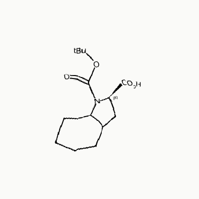 CC(C)(C)OC(=O)N1C2CCCCC2C[C@@H]1C(=O)O